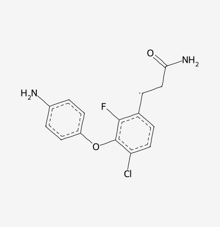 NC(=O)C[CH]c1ccc(Cl)c(Oc2ccc(N)cc2)c1F